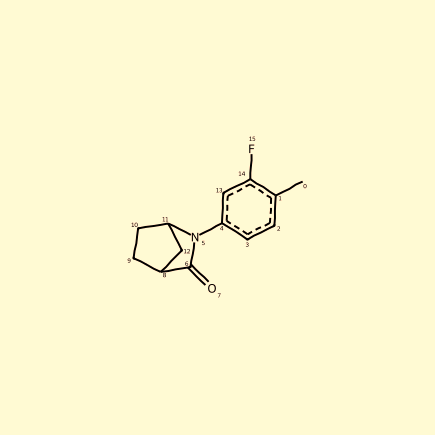 Cc1ccc(N2C(=O)C3CCC2C3)cc1F